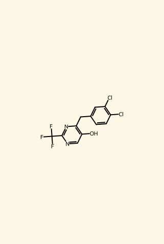 Oc1cnc(C(F)(F)F)nc1Cc1ccc(Cl)c(Cl)c1